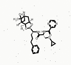 CC1(C)[C@@H]2C[C@H]3OB([C@H](CCCc4ccccc4)NC(=O)[C@@H](COC4CC4)NC(=O)c4cnccn4)O[C@@]3(C)[C@H]1C2